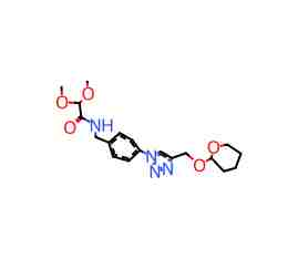 COC(OC)C(=O)NCc1ccc(-n2cc(COC3CCCCO3)nn2)cc1